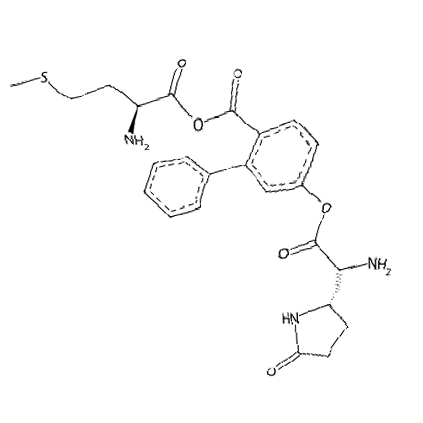 CSCC[C@H](N)C(=O)OC(=O)c1ccc(OC(=O)C(N)[C@@H]2CCC(=O)N2)cc1-c1ccccc1